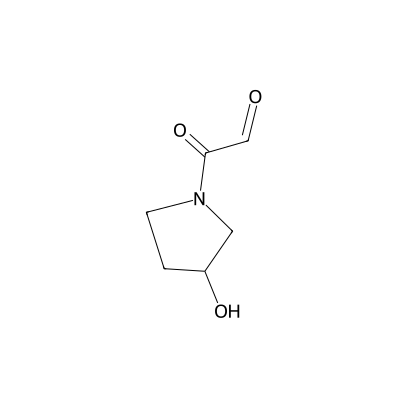 O=CC(=O)N1CCC(O)C1